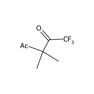 CC(=O)C(C)(C)C(=O)C(F)(F)F